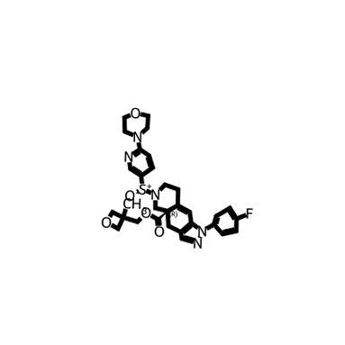 CC1(COC(=O)[C@]23Cc4cnn(-c5ccc(F)cc5)c4C=C2CCN([S+]([O-])c2ccc(N4CCOCC4)nc2)C3)COC1